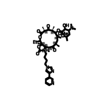 CCC1OC(=O)[C@H](C)C(=O)[C@H](C)[C@@H](OC2OC(C)CC(N(C)C)C2O)[C@](C)(OC)C[C@@H](C)C(=O)[C@H](C)[C@H]2N(CCCCn3cnc(-c4cccnc4)c3)C(=O)O[C@]12C